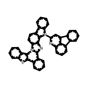 c1ccc2c(c1)-c1cccc3nc(-n4c5ccccc5c5ccc6c(nc7c8ccccc8c8sc9ccccc9c8n67)c54)cc-2c13